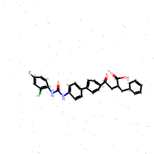 O=C(Nc1ccc(-c2ccc(C(=O)CC(CC3C=CC=CC3)C(=O)O)cc2)cc1)Nc1ccc(F)cc1F